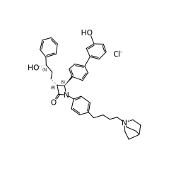 O=C1[C@H](CC[C@H](O)c2ccccc2)[C@@H](c2ccc(-c3cccc(O)c3)cc2)N1c1ccc(CCCC[N+]23CCC(CC2)CC3)cc1.[Cl-]